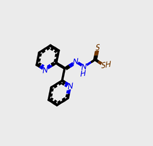 S=C(S)NN=C(c1ccccn1)c1ccccn1